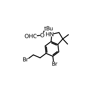 CC(C)(C)OC=O.CC1(C)CNc2cc(CCBr)c(Br)cc21